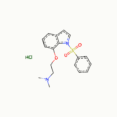 CN(C)CCOc1cccc2ccn(S(=O)(=O)c3ccccc3)c12.Cl